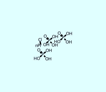 CCCCl.O=P(O)(O)O.O=P(O)(O)O.O=P(O)(O)O